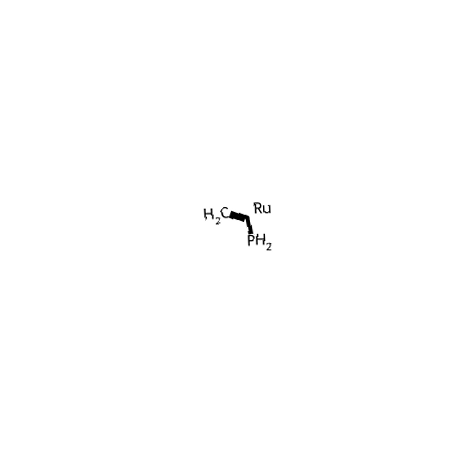 C=CP.[Ru]